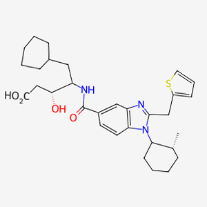 C[C@@H]1CCCCC1n1c(Cc2cccs2)nc2cc(C(=O)NC(CC3CCCCC3)[C@H](O)CC(=O)O)ccc21